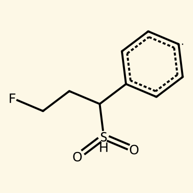 O=[SH](=O)C(CCF)c1cc[c]cc1